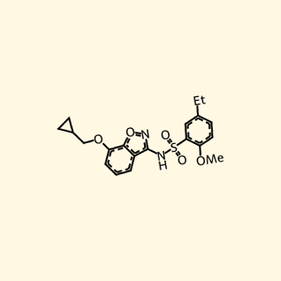 CCc1ccc(OC)c(S(=O)(=O)Nc2noc3c(OCC4CC4)cccc23)c1